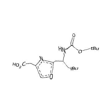 CCC(C)C(NC(=O)OC(C)(C)C)c1nc(C(=O)O)co1